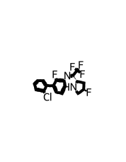 Fc1c(/N=C(\[C@@H]2C[C@@H](F)CN2)C(F)(F)F)cccc1-c1ccccc1Cl